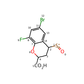 O=[S+]C1CC(C(=O)O)Oc2c(F)cc(Br)cc21